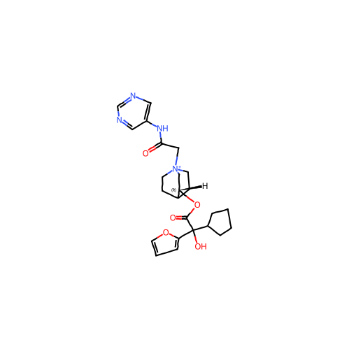 O=C(C[N+]12CCC(CC1)[C@@H](OC(=O)C(O)(c1ccco1)C1CCCC1)C2)Nc1cncnc1